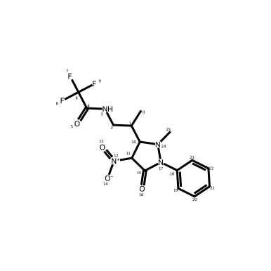 CC(CNC(=O)C(F)(F)F)C1C([N+](=O)[O-])C(=O)N(c2ccccc2)N1C